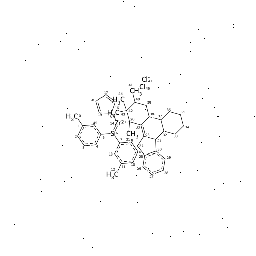 Cc1cccc([Si](c2cccc(C)c2)=[Zr+2]([CH]2C=CC=C2)[C]2(C)C3=C4Cc5ccccc5C4C4CCCCC4C3CC(C)C2(C)C)c1.[Cl-].[Cl-]